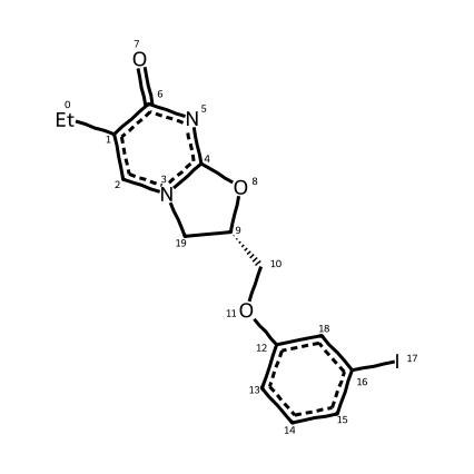 CCc1cn2c(nc1=O)O[C@H](COc1cccc(I)c1)C2